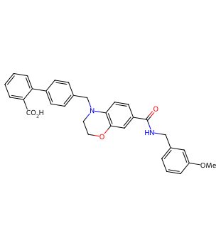 COc1cccc(CNC(=O)c2ccc3c(c2)OCCN3Cc2ccc(-c3ccccc3C(=O)O)cc2)c1